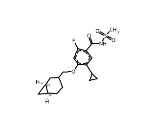 CS(=O)(=O)NC(=O)c1cc(C2CC2)c(OCC2CC[C@H]3C[C@H]3C2)cc1F